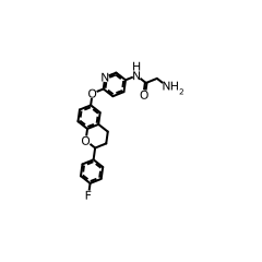 NCC(=O)Nc1ccc(Oc2ccc3c(c2)CCC(c2ccc(F)cc2)O3)nc1